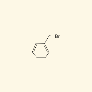 BrCC1=CCCC=C1